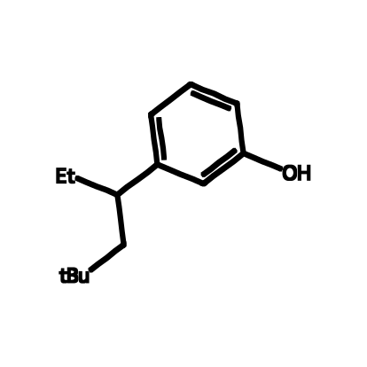 CCC(CC(C)(C)C)c1cccc(O)c1